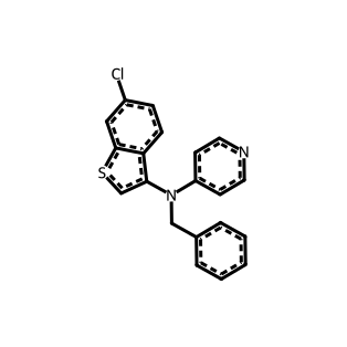 Clc1ccc2c(N(Cc3ccccc3)c3ccncc3)csc2c1